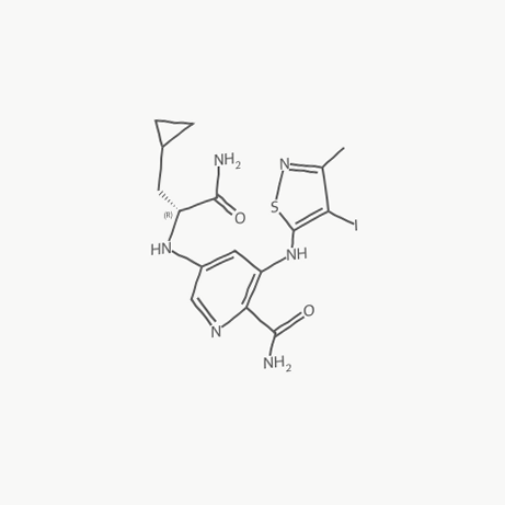 Cc1nsc(Nc2cc(N[C@H](CC3CC3)C(N)=O)cnc2C(N)=O)c1I